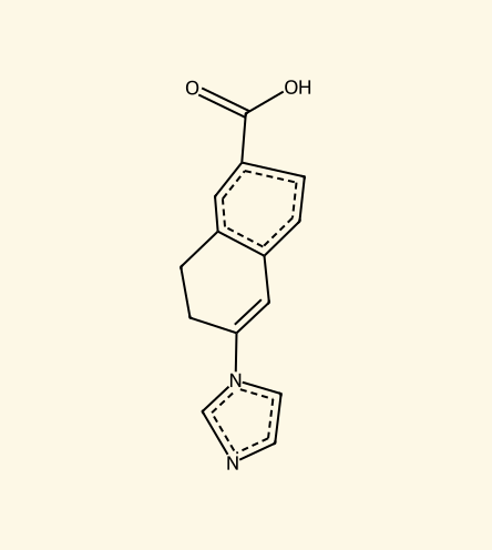 O=C(O)c1ccc2c(c1)CCC(n1ccnc1)=C2